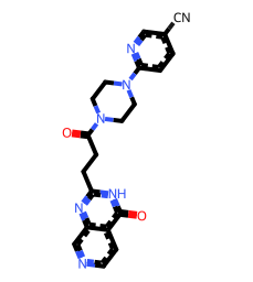 N#Cc1ccc(N2CCN(C(=O)CCc3nc4cnccc4c(=O)[nH]3)CC2)nc1